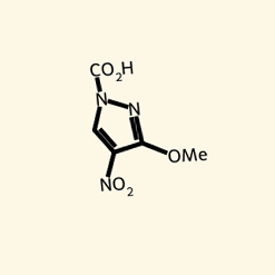 COc1nn(C(=O)O)cc1[N+](=O)[O-]